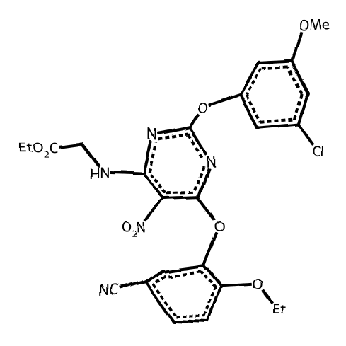 CCOC(=O)CNc1nc(Oc2cc(Cl)cc(OC)c2)nc(Oc2cc(C#N)ccc2OCC)c1[N+](=O)[O-]